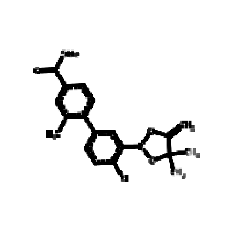 C=C1OB(c2cc(-c3ccc(C(=O)OC)cc3C)ccc2Cl)OC1(C)C